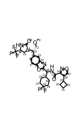 COC[C@H](c1ccc2oc([C@@H](NC(=O)c3nocc3C3CCC3)C3CCC(F)(F)CC3)nc2c1)N1C[C@@H](C(F)(F)F)NC1=O